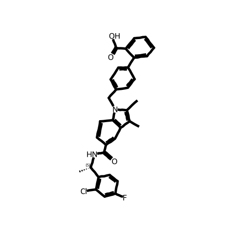 Cc1c(C)n(Cc2ccc(-c3ccccc3C(=O)O)cc2)c2ccc(C(=O)N[C@@H](C)c3ccc(F)cc3Cl)cc12